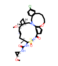 CO[C@H]1/C=C/C[C@H](C)C(NC(=O)N[C@H]2C[C@H]2OC)/[SH](=O)=N\C(=O)c2ccc3c(c2)N(Cc2ccc(Cl)cc2CCCCO3)C[C@@H]2CC[C@H]21